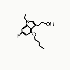 CCCCOc1cc(F)cc2c1c(CCO)cn2CC